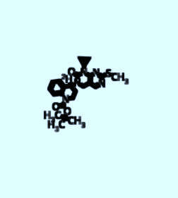 [2H]C1(N2Cc3cnc(SC)nc3N(C3CC3)C2=O)CCN(C(=O)OC(C)(C)C)c2ccccc21